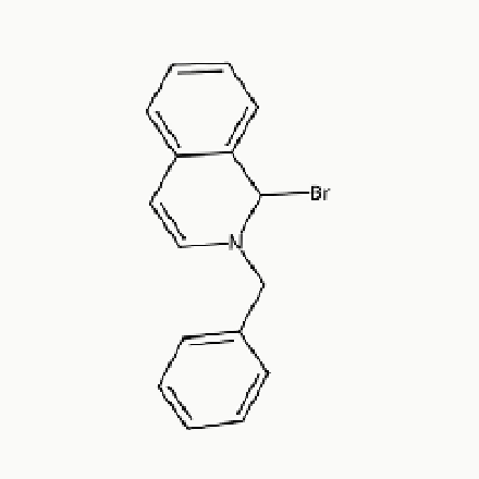 BrC1c2ccccc2C=CN1Cc1ccccc1